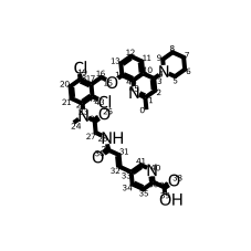 Cc1cc(N2CCCCC2)c2cccc(OCc3c(Cl)ccc(N(C)C(=O)CNC(=O)/C=C/c4ccc(C(=O)O)nc4)c3Cl)c2n1